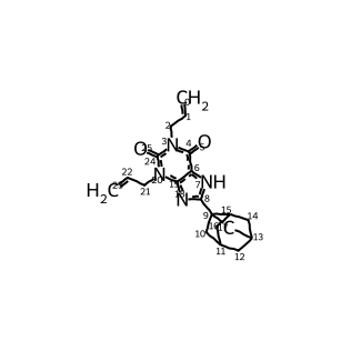 C=CCn1c(=O)c2[nH]c(C34CC5CC(CC3C5)C4)nc2n(CC=C)c1=O